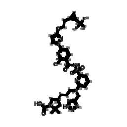 CC1(C)C[C@H](CCCN(Cc2nn[nH]n2)c2cccc(S(=O)(=O)NC(=O)c3ccc(-n4ccc(OCCC5CC5C(F)(F)F)n4)nc3Cl)n2)CN1C(=O)O